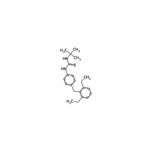 CCc1cccc(CC)c1Cc1ccc(NC(=S)NC(C)(C)C)cc1